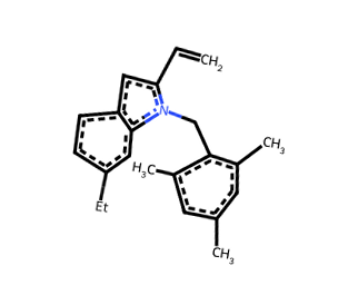 C=Cc1cc2ccc(CC)cc2n1Cc1c(C)cc(C)cc1C